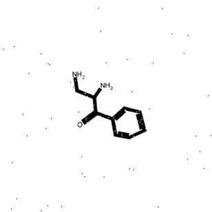 NCC(N)C(=O)c1ccccc1